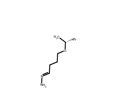 CC(C)[C@@H](C)OCCC/C=N/N